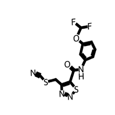 N#CSCc1nnsc1C(=O)Nc1cccc(OC(F)F)c1